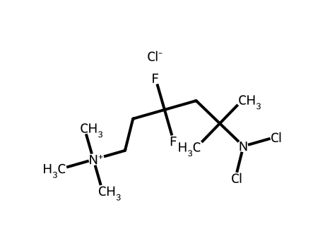 CC(C)(CC(F)(F)CC[N+](C)(C)C)N(Cl)Cl.[Cl-]